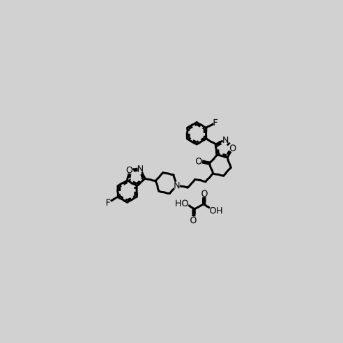 O=C(O)C(=O)O.O=C1c2c(-c3ccccc3F)noc2CCC1CCCN1CCC(c2noc3cc(F)ccc23)CC1